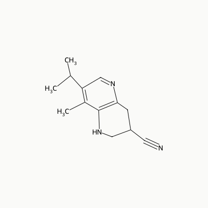 Cc1c(C(C)C)cnc2c1NCC(C#N)C2